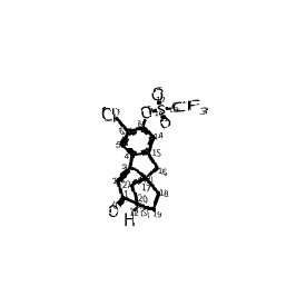 O=C1C=C2c3cc(Cl)c(OS(=O)(=O)C(F)(F)F)cc3C[C@]23CC[C@H]1C3